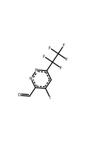 O=Cc1nnc(C(F)(F)C(F)(F)F)cc1I